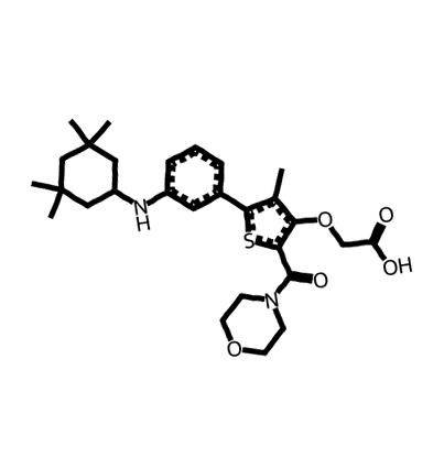 Cc1c(-c2cccc(NC3CC(C)(C)CC(C)(C)C3)c2)sc(C(=O)N2CCOCC2)c1OCC(=O)O